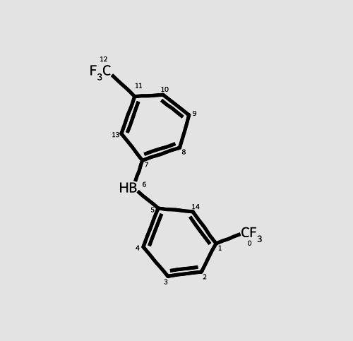 FC(F)(F)c1cccc(Bc2cccc(C(F)(F)F)c2)c1